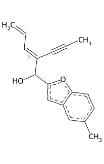 C=C/C=C(\C#CC)C(O)c1cc2cc(C)ccc2o1